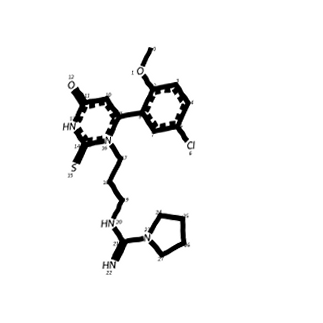 COc1ccc(Cl)cc1-c1cc(=O)[nH]c(=S)n1CCCNC(=N)N1CCCC1